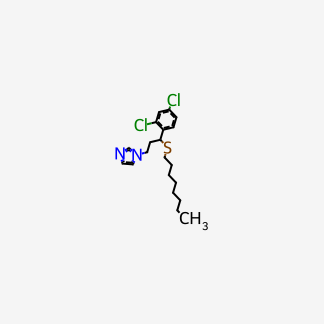 CCCCCCCCSC(CCn1ccnc1)c1ccc(Cl)cc1Cl